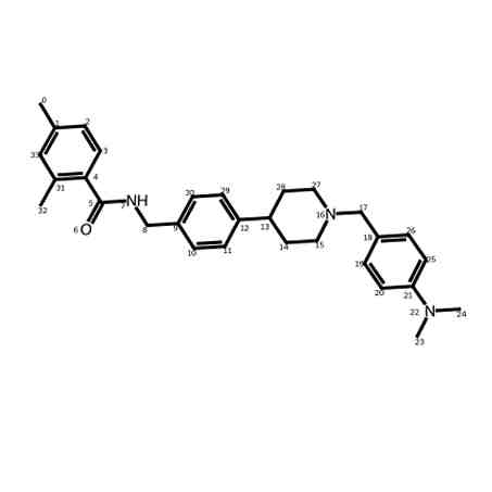 Cc1ccc(C(=O)NCc2ccc(C3CCN(Cc4ccc(N(C)C)cc4)CC3)cc2)c(C)c1